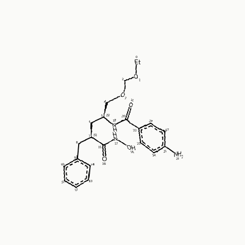 CCOCOC[C@H](C[C@H](Cc1ccccc1)C(=O)NO)NC(=O)c1ccc(N)cc1